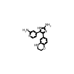 Nc1cc(-c2[nH]c(N)nc2-c2ccc3c(c2)NCCO3)ccn1